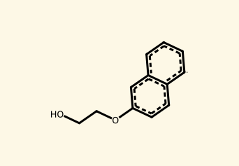 OCCOc1ccc2[c]cccc2c1